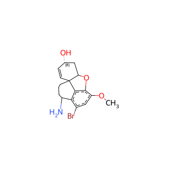 COc1cc(Br)c2c3c1OC1C[C@@H](O)C=CC31CCCC2N